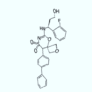 O=S1(=O)N=C(N[C@@H](CCO)c2ccccc2F)OC2(COC2)C1c1ccc(-c2ccccc2)cc1